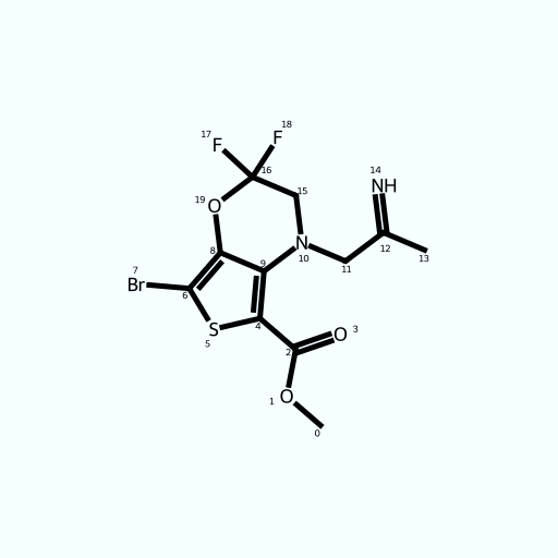 COC(=O)c1sc(Br)c2c1N(CC(C)=N)CC(F)(F)O2